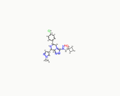 Cn1cc(-c2nc(-c3ccc(Cl)cc3)cn3c(NCC4(O)CCC4)nnc23)cn1